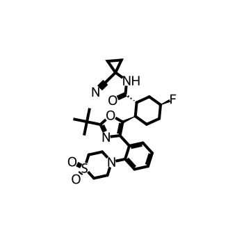 CC(C)(C)c1nc(-c2ccccc2N2CCS(=O)(=O)CC2)c([C@@H]2CC[C@H](F)C[C@H]2C(=O)NC2(C#N)CC2)o1